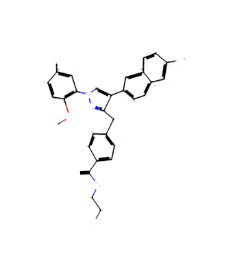 C=C(NCCC(=O)OCC)c1ccc(Cc2nn(-c3cc(C(F)(F)F)ccc3OC(C)C)cc2-c2ccc3cc(OC)ccc3c2)cc1